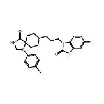 O=C1NCN(c2ccc(F)cc2)C12CCN(CCCn1c(=O)[nH]c3cc(Cl)ccc31)CC2